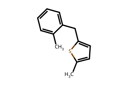 Cc1ccc(Cc2ccccc2C)s1